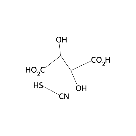 N#CS.O=C(O)C(O)C(O)C(=O)O